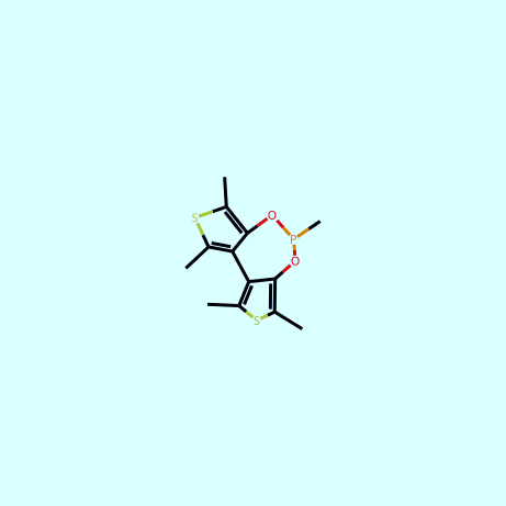 Cc1sc(C)c2c1op(C)oc1c(C)sc(C)c12